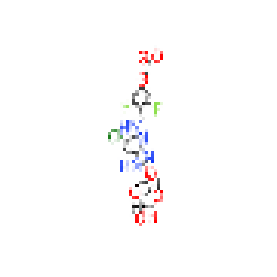 COC(=O)COc1cc(F)c(CNc2nc3nc(O[C@@H]4CO[C@H]5[C@@H]4OC[C@H]5O)[nH]c3cc2Cl)c(F)c1